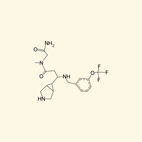 CN(CC(N)=O)C(=O)CC(NCc1cccc(OC(F)(F)F)c1)C1C2CNCC21